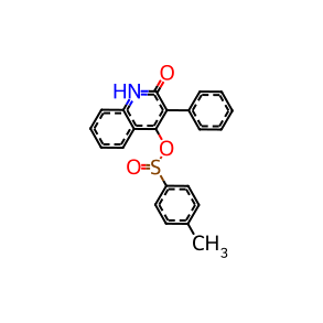 Cc1ccc(S(=O)Oc2c(-c3ccccc3)c(=O)[nH]c3ccccc23)cc1